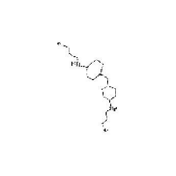 CC(C)CCCNC1CCC(CC2CCC(NCCCC(C)C)CC2)CC1